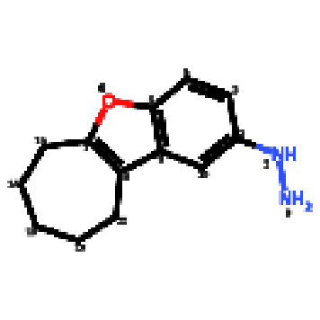 NNc1ccc2oc3c(c2c1)CCCCC3